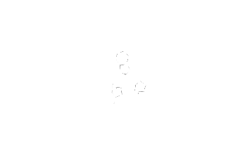 CC(=O)c1c(C)c(C(c2ccc(C)[nH]2)c2cc3ccccc3s2)n(C)c1C